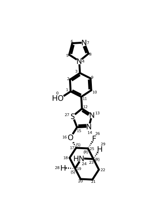 Oc1cc(-n2ccnc2)ccc1-c1nnc(O[C@H]2C[C@@H]3CCC[C@@H](N3)[C@H]2F)s1